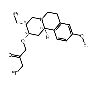 CCOc1ccc2c(c1)CCN1C[C@@H](CC(C)C)[C@@H](OCC(=O)C[18F])C[C@H]21